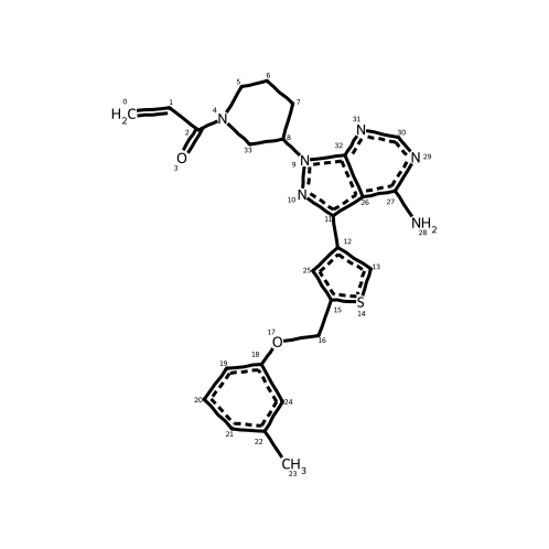 C=CC(=O)N1CCCC(n2nc(-c3csc(COc4cccc(C)c4)c3)c3c(N)ncnc32)C1